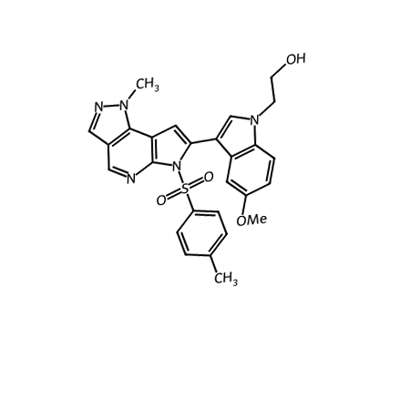 COc1ccc2c(c1)c(-c1cc3c4c(cnc3n1S(=O)(=O)c1ccc(C)cc1)cnn4C)cn2CCO